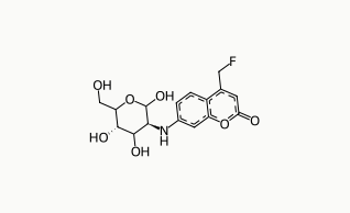 O=c1cc(CF)c2ccc(N[C@@H]3C(O)OC(CO)[C@@H](O)C3O)cc2o1